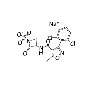 Cc1onc(-c2c(Cl)cccc2Cl)c1C(=O)NC1CN(S(=O)(=O)[O-])C1=O.[Na+]